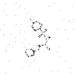 Cc1ccc(S(=O)(=O)N2CC2C(=O)NCc2ccccc2)cc1